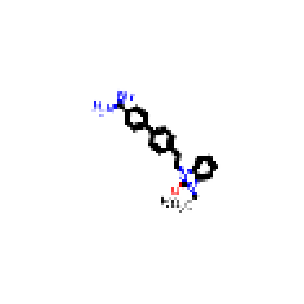 N=C(N)c1ccc(-c2ccc(CCn3c(=O)n(CC(=O)O)c4ccccc43)cc2)cc1